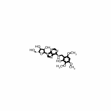 COc1cc(OC)c(OC)c(O)c1CNc1ncnc2c1ncn2C1O[C@H](CO)[C@@H](O)[C@H]1O